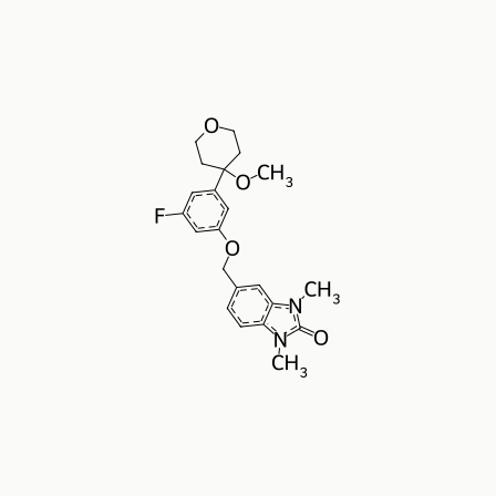 COC1(c2cc(F)cc(OCc3ccc4c(c3)n(C)c(=O)n4C)c2)CCOCC1